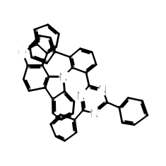 c1ccc(-c2nc(-c3ccccc3)nc(-c3cccc(-c4ccccc4)c3-n3c4ccccc4c4ccc5oc6ccccc6c5c43)n2)cc1